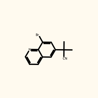 CC(C)(C#N)c1cc(Br)c2ncccc2c1